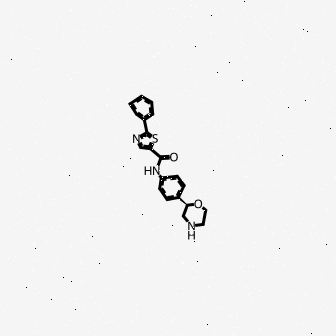 O=C(Nc1ccc([C@@H]2CNCCO2)cc1)c1cnc(-c2ccccc2)s1